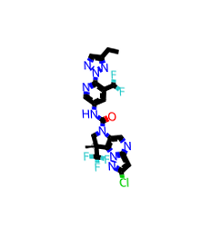 CCc1cnn(-c2ncc(NC(=O)N3C[C@@](C)(C(F)(F)F)c4c3cnc3cc(Cl)nn43)cc2C(F)F)n1